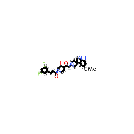 COc1ccc2c(c1)C1(CCN(CC(O)C3CCN(C(=O)/C=C/c4cc(F)cc(F)c4)CC3)CC1)CN2